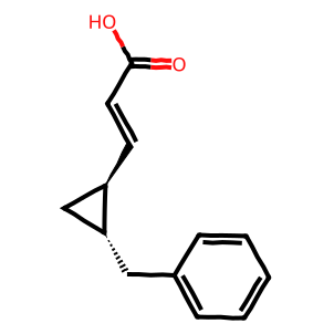 O=C(O)/C=C/[C@@H]1C[C@H]1Cc1ccccc1